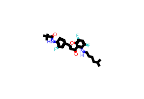 CC(C)CCCCNc1c(F)cc(F)c2oc(-c3ccc(NC(=O)C(C)(C)C)c(F)c3)cc(=O)c12